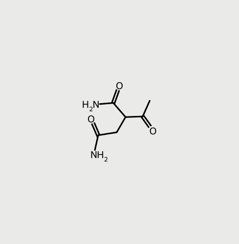 CC(=O)C(CC(N)=O)C(N)=O